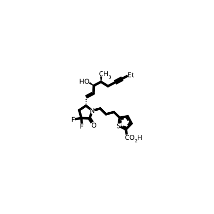 CCC#CC[C@H](C)[C@H](O)/C=C/[C@H]1CC(F)(F)C(=O)N1CCCc1ccc(C(=O)O)s1